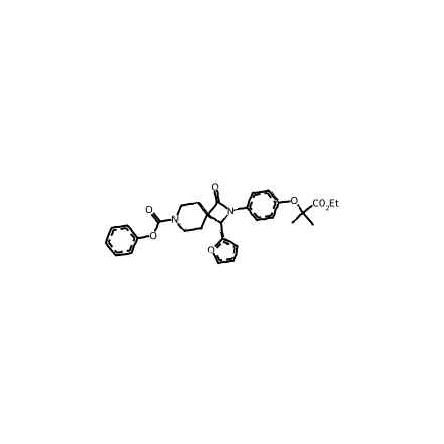 CCOC(=O)C(C)(C)Oc1ccc(N2C(=O)C3(CCN(C(=O)Oc4ccccc4)CC3)C2c2ccco2)cc1